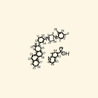 Cc1ccc(N2CCN(c3cccc(C4Cc5ccc6c(ccc7ccccc76)c5CC4(C)C)c3)CC2)c(C)c1.O=C(O)c1ccc2ncccc2c1